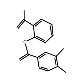 C=C(Oc1ccccc1C(=C)C)c1ccc(C)c(C)c1